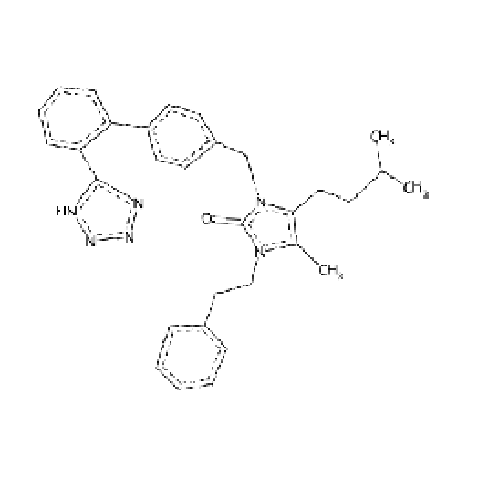 Cc1c(CCC(C)C)n(Cc2ccc(-c3ccccc3-c3nnn[nH]3)cc2)c(=O)n1CCc1ccccc1